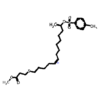 COC(=O)CCSCCCC/C=C\CCCCCCC(C)OS(=O)(=O)c1ccc(C)cc1